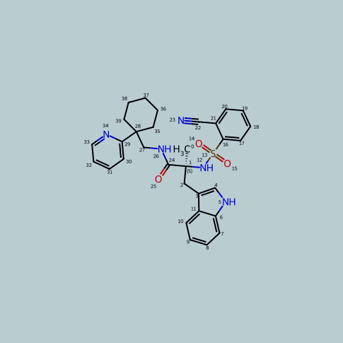 C[C@@](Cc1c[nH]c2ccccc12)(NS(=O)(=O)c1ccccc1C#N)C(=O)NCC1(c2ccccn2)CCCCC1